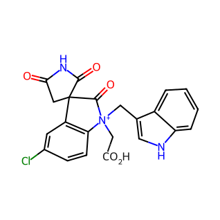 O=C(O)C[N+]1(Cc2c[nH]c3ccccc23)C(=O)C2(CC(=O)NC2=O)c2cc(Cl)ccc21